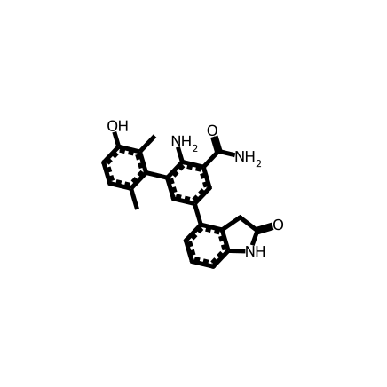 Cc1ccc(O)c(C)c1-c1cc(-c2cccc3c2CC(=O)N3)cc(C(N)=O)c1N